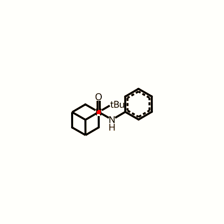 CC(C)(C)N1CC2CC(C1)C2C(=O)Nc1ccccc1